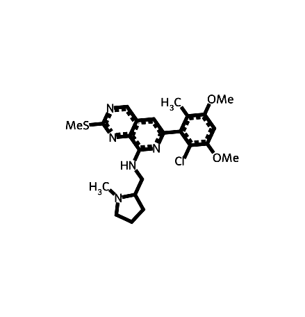 COc1cc(OC)c(Cl)c(-c2cc3cnc(SC)nc3c(NCC3CCCN3C)n2)c1C